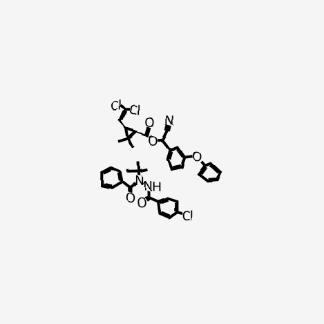 CC(C)(C)N(NC(=O)c1ccc(Cl)cc1)C(=O)c1ccccc1.CC1(C)[C@H](C(=O)OC(C#N)c2cccc(Oc3ccccc3)c2)[C@@H]1C=C(Cl)Cl